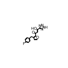 O=C(C=C(O)c1nn[nH]n1)c1occc1Cc1ccc(F)cc1